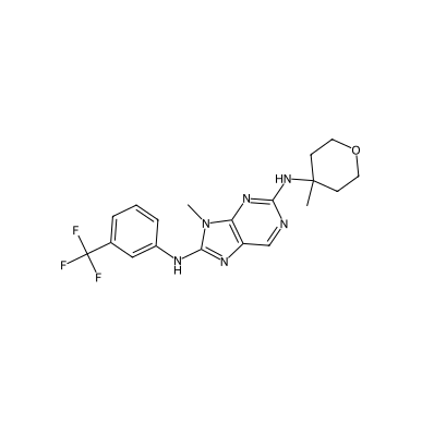 Cn1c(Nc2cccc(C(F)(F)F)c2)nc2cnc(NC3(C)CCOCC3)nc21